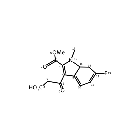 COC(=O)C1=C(C(=O)CC(=O)O)C2=CC=C(F)CC2N1C